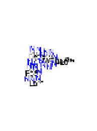 N#[C][Fe-4]([C]#N)([C]#N)([C]#N)([C]#N)[C]#N.N#[C][Fe-4]([C]#N)([C]#N)([C]#N)([C]#N)[C]#N.N#[C][Fe-4]([C]#N)([C]#N)([C]#N)([C]#N)[C]#N.[La+3].[La+3].[La+3].[La+3]